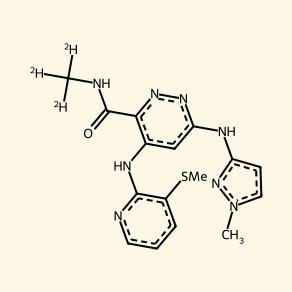 [2H]C([2H])([2H])NC(=O)c1nnc(Nc2ccn(C)n2)cc1Nc1ncccc1SC